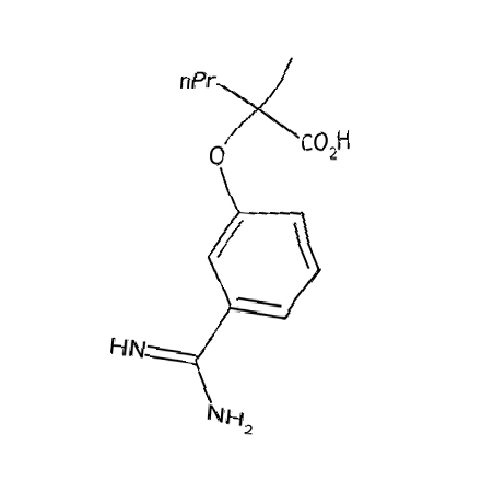 CCCC(C)(Oc1cccc(C(=N)N)c1)C(=O)O